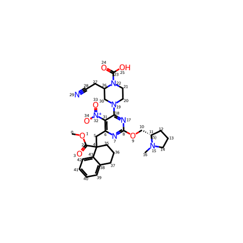 COC(=O)C1(Cc2nc(OC[C@@H]3CCCN3C)nc(N3CCN(C(=O)O)C(CC#N)C3)c2[N+](=O)[O-])CCCc2ccccc21